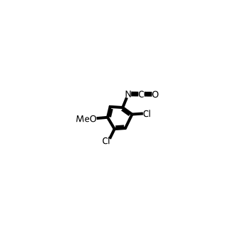 COc1cc(N=C=O)c(Cl)cc1Cl